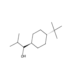 CC(C)C(O)[C@H]1CC[C@H](C(C)(C)C)CC1